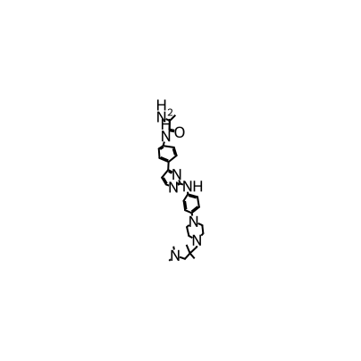 CC(N)C(=O)Nc1ccc(-c2ccnc(Nc3ccc(N4CCN(CC(C)(C)CN(C)C)CC4)cc3)n2)cc1